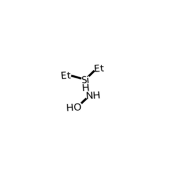 CC[SiH](CC)NO